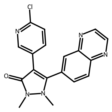 Cn1c(-c2ccc3nccnc3c2)c(-c2ccc(Cl)nc2)c(=O)n1C